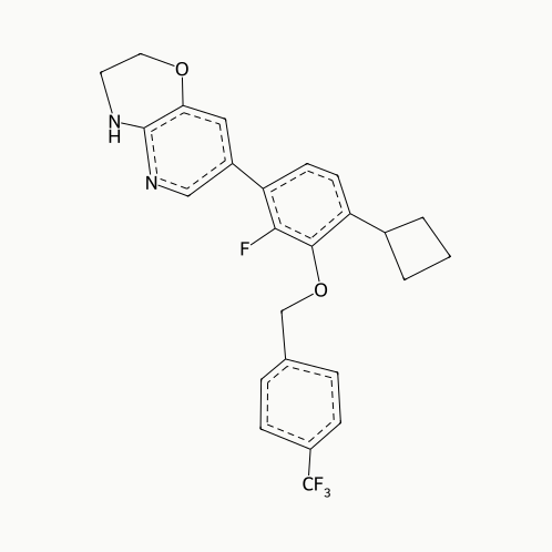 Fc1c(-c2cnc3c(c2)OCCN3)ccc(C2CCC2)c1OCc1ccc(C(F)(F)F)cc1